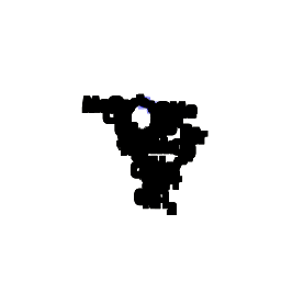 COc1cc(NC(=O)[C@H](CCCNC(N)=O)NC(=O)[C@@H](NC(=O)CCCCC(C)(C)OC(=O)C(CBr)CBr)C(C)C)ccc1C(=O)N(C)[C@@H](C)C(=O)O[C@H]1CC(=O)N(C)c2cc(cc(OC)c2Cl)C/C(C)=C/C=C/[C@@H](OC)[C@@]2(O)C[C@H](OC(=O)N2)[C@@H](C)[C@@H]2O[C@@]12C